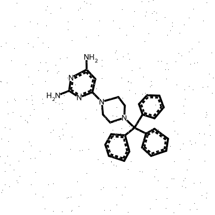 Nc1cc(N2CCN(C(c3ccccc3)(c3ccccc3)c3ccccc3)CC2)nc(N)n1